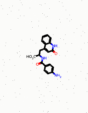 Nc1ccc(C(=O)NC(Cc2cc(=O)[nH]c3ccccc23)C(=O)O)cc1